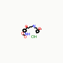 COc1ccccc1CCN(C)CCCCC(=O)c1ccc2c(c1)NC(=O)CO2.Cl